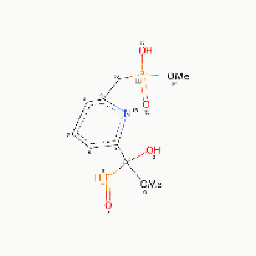 COC(O)([PH2]=O)c1cccc(CP(=O)(O)OC)n1